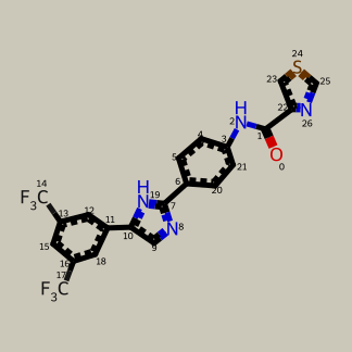 O=C(Nc1ccc(-c2ncc(-c3cc(C(F)(F)F)cc(C(F)(F)F)c3)[nH]2)cc1)c1cscn1